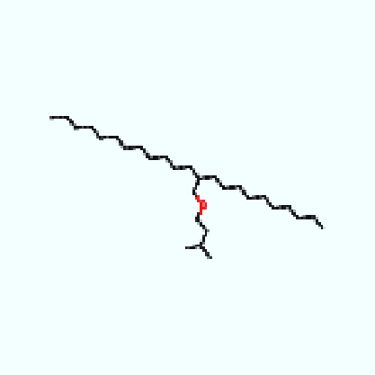 CCCCCCCCCCCCC(CCCCCCCCCC)COCCC(C)C